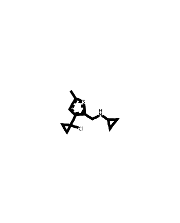 Cc1cc(C2(Cl)CC2)c(CNC2CC2)s1